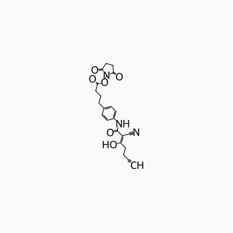 C#CCC/C(O)=C(\C#N)C(=O)Nc1ccc(CCCC(=O)ON2C(=O)CCC2=O)cc1